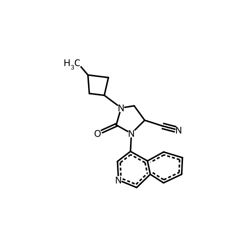 CC1CC(N2CC(C#N)N(c3cncc4ccccc34)C2=O)C1